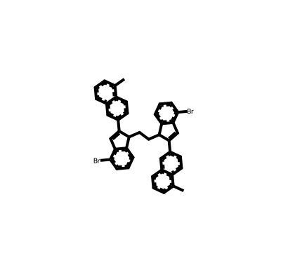 Cc1cccc2cc(C3=Cc4c(Br)cccc4C3CCC3C(c4ccc5c(C)cccc5c4)=Cc4c(Br)cccc43)ccc12